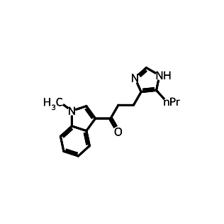 CCCc1[nH]cnc1CCC(=O)c1cn(C)c2ccccc12